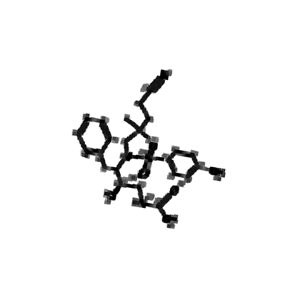 CC(C)(CCC#N)CN(C(Cc1ccccc1)[C@H](O)CNC(=O)O)S(=O)(=O)c1ccc(O)cc1